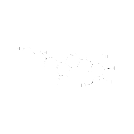 O=C(Cc1cc(=O)oc2cc(O[C@@H]3O[C@H](CO)[C@H](O)[C@H](O)[C@H]3O)ccc12)NCCO